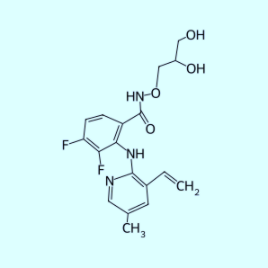 C=Cc1cc(C)cnc1Nc1c(C(=O)NOCC(O)CO)ccc(F)c1F